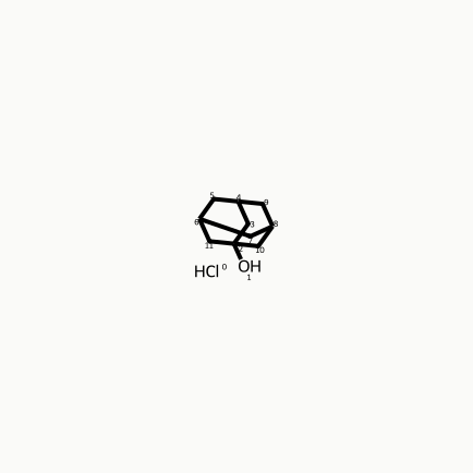 Cl.OC12CC3CC(CC(C3)C1)C2